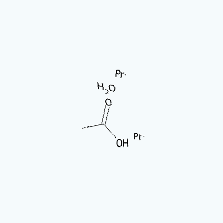 CC(=O)O.O.[Pr].[Pr]